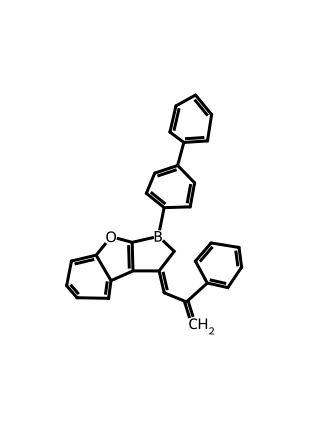 C=C(/C=C1\CB(c2ccc(-c3ccccc3)cc2)c2oc3ccccc3c21)c1ccccc1